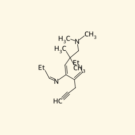 C#CCC(=C/CC)/C(=C\C(C)(C)CN(C)C)/N=C\CC